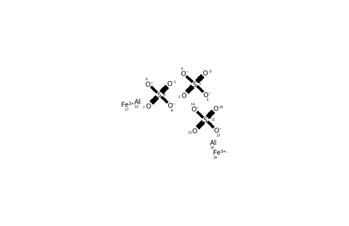 O=S(=O)([O-])[O-].O=S(=O)([O-])[O-].O=S(=O)([O-])[O-].[Al].[Al].[Fe+3].[Fe+3]